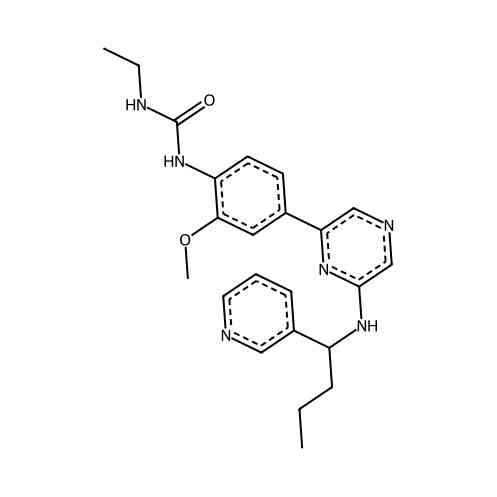 CCCC(Nc1cncc(-c2ccc(NC(=O)NCC)c(OC)c2)n1)c1cccnc1